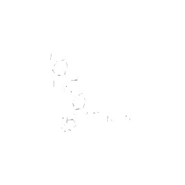 CN1CCCN(CCOc2ccc(NC(=O)c3ccc(F)cc3F)cc2-c2c(Cl)cnn2C)CC1